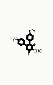 CCCc1ccc(-c2c(-c3ccc(C(F)(F)F)cc3)cc(F)c(C=O)c2F)cc1